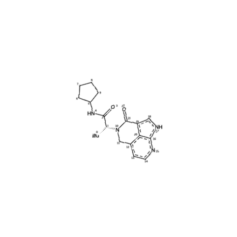 CC[C@@H](C)[C@H](C(=O)NC1CCCC1)N1Cc2ccnc3[nH]cc(c23)C1=O